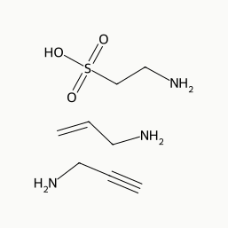 C#CCN.C=CCN.NCCS(=O)(=O)O